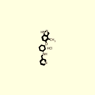 Cc1c(O[C@H]2CCC[C@@H](NCc3cccnc3)C2)ccc2[nH]ncc12.Cl